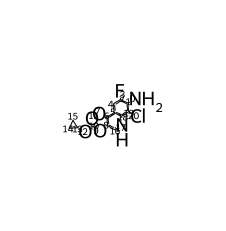 Nc1c(F)cc2c(=O)c(OC(=O)OC3CC3)c[nH]c2c1Cl